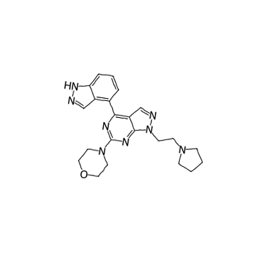 c1cc(-c2nc(N3CCOCC3)nc3c2cnn3CCN2CCCC2)c2cn[nH]c2c1